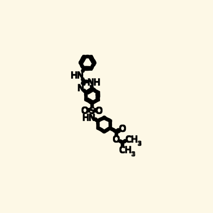 CC(C)OC(=O)C1CCC(NS(=O)(=O)c2ccc3[nH]c(Nc4ccccc4)nc3c2)CC1